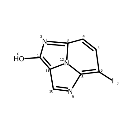 Oc1nc2ccc(I)c3ncc1n23